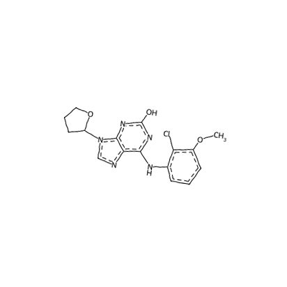 COc1cccc(Nc2nc(O)nc3c2ncn3C2CCCO2)c1Cl